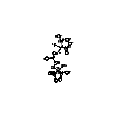 O=C(OCC(F)([N+](=O)[O-])[N+](=O)[O-])SCC(F)([N+](=O)[O-])[N+](=O)[O-]